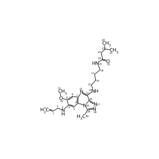 C=CCNc1cc2c(cc1OC)nc(NCCCCNC(=O)CC(C)C)c1nnc(C)n12